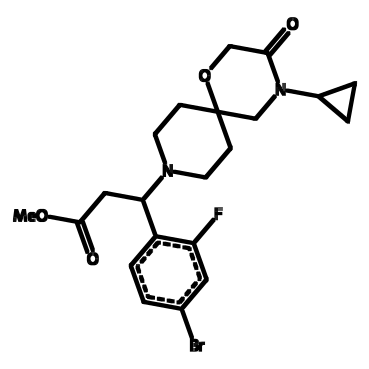 COC(=O)CC(c1ccc(Br)cc1F)N1CCC2(CC1)CN(C1CC1)C(=O)CO2